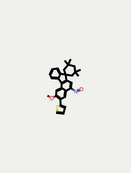 COc1cc2c3c(cc(N=O)c2cc1-c1cccs1)C1(CC(C)(C)CC(C)(C)C1)c1ccccc1-3